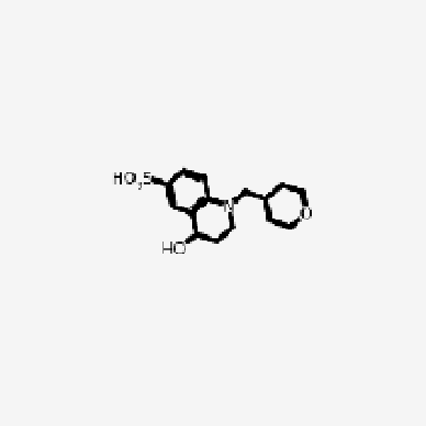 O=S(=O)(O)c1ccc2c(c1)C(O)CCN2CC1CCOCC1